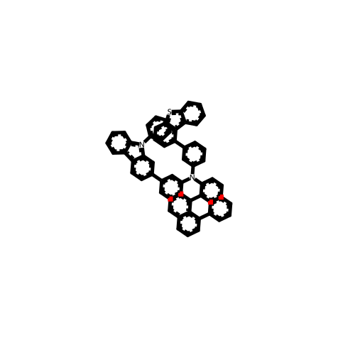 c1ccc(-c2cccc3cccc(-c4ccccc4N(c4cccc(-c5ccc6c7ccccc7n(-c7ccccc7)c6c5)c4)c4cccc(-c5cccc6sc7ccccc7c56)c4)c23)cc1